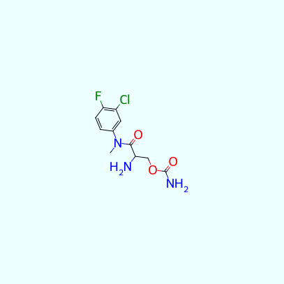 CN(C(=O)C(N)COC(N)=O)c1ccc(F)c(Cl)c1